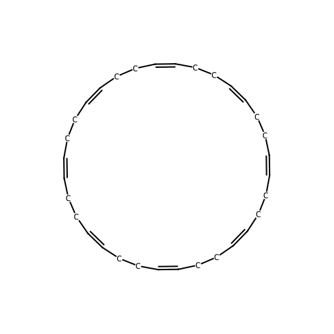 C1=C\CC/C=C\CC/C=C\CC/C=C\CC/C=C\CC/C=C\CC/C=C\CC/C=C\CC/1